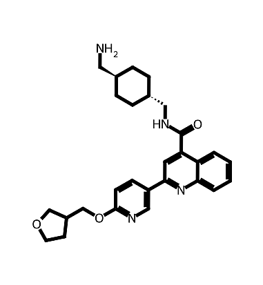 NC[C@H]1CC[C@H](CNC(=O)c2cc(-c3ccc(OCC4CCOC4)nc3)nc3ccccc23)CC1